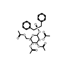 CC(=O)OC[C@H]1OC(OP(=O)(Cc2ccccc2)Cc2ccccc2)[C@H](OC(C)=O)[C@@H](OC(C)=O)[C@H]1OC(C)=O